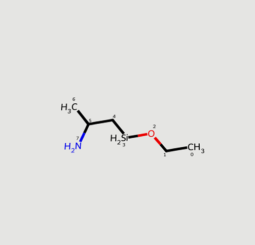 CCO[SiH2]CC(C)N